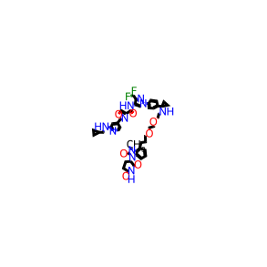 Cn1c(=O)n(C2CCC(=O)NC2=O)c2cccc(CCCOCCOCCNC3(c4ccc(-n5cc(NC(=O)c6coc(-c7ccnc(NCC8CC8)c7)n6)c(C(F)F)n5)cc4)CC3)c21